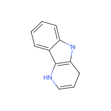 C1=CNC2=C(C1)[N]c1ccccc12